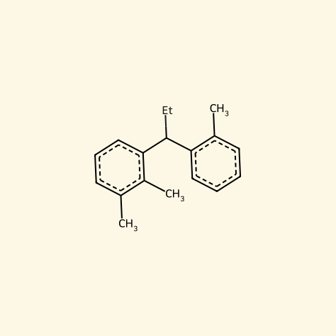 CCC(c1ccccc1C)c1cccc(C)c1C